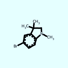 CN1CC(C)(C)c2cc(Br)ccc21